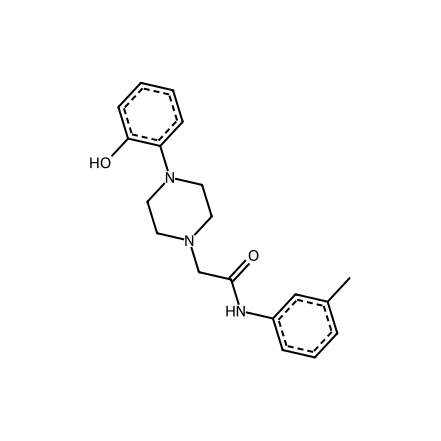 Cc1cccc(NC(=O)CN2CCN(c3ccccc3O)CC2)c1